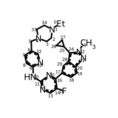 CCN1CCN(Cc2ccc(Nc3ncc(F)c(-c4ccc5nn(C)c(C6CC6)c5c4)n3)nc2)CC1